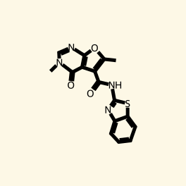 Cc1oc2ncn(C)c(=O)c2c1C(=O)Nc1nc2ccccc2s1